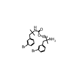 CC(C)(Cc1cccc(Br)c1)NC(=O)OC(C)(C)C.CC(C)(N)Cc1cccc(Br)c1